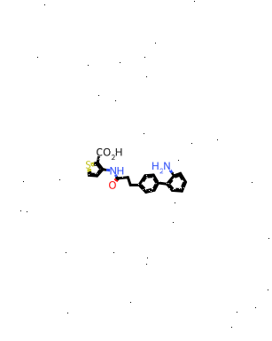 Nc1ccccc1-c1ccc(CCC(=O)Nc2ccsc2C(=O)O)cc1